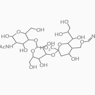 CC(=O)NC1C(O)OC(CO)C(OC2OC(CO)C(O)C(OC3(C(=O)O)CC(O)C(COC=N)C(C(O)C(O)CO)O3)C2O)C1O